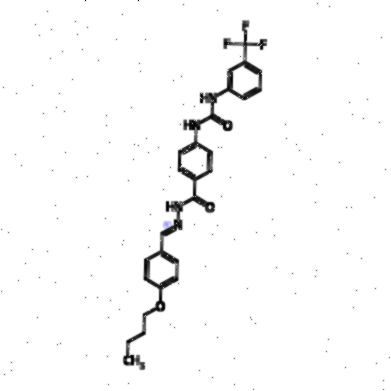 CCCCOc1ccc(/C=N/NC(=O)c2ccc(NC(=O)Nc3cccc(C(F)(F)F)c3)cc2)cc1